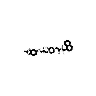 Cc1nc2cc(OC[C@H](O)CN3CCN(CC(=O)N[C@@H](C)c4cccc5ccccc45)CC3)ccc2s1